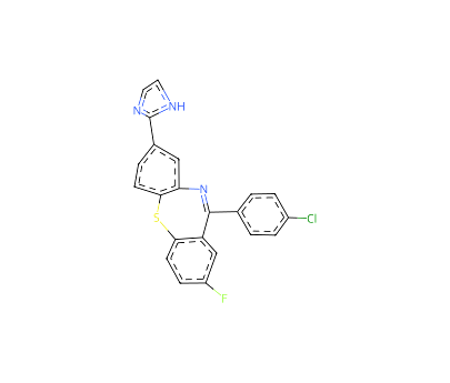 Fc1ccc2c(c1)C(c1ccc(Cl)cc1)=Nc1cc(-c3ncc[nH]3)ccc1S2